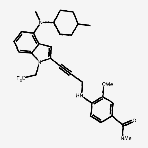 CNC(=O)c1ccc(NCC#Cc2cc3c(N(C)C4CCC(C)CC4)cccc3n2CC(F)(F)F)c(OC)c1